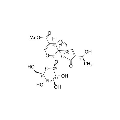 COC(=O)C1=CO[C@@H](O[C@@H]2O[C@H](CO)[C@@H](O)[C@H](O)[C@H]2O)[C@H]2[C@@H]1C=C[C@@]21C=C([C@H](C)O)C(=O)O1